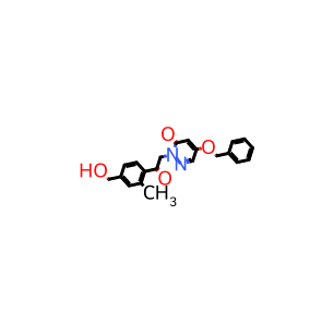 Cc1cc(CO)ccc1C(=O)Cn1ncc(OCc2ccccc2)cc1=O